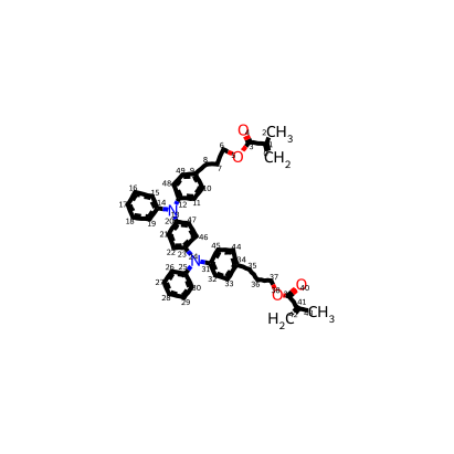 C=C(C)C(=O)OCCCc1ccc(N(c2ccccc2)c2ccc(N(c3ccccc3)c3ccc(CCCOC(=O)C(=C)C)cc3)cc2)cc1